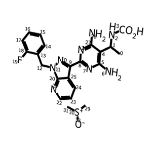 CC(NC(=O)O)c1c(N)nc(-c2nn(Cc3ccccc3F)c3ncccc23)nc1N.C[S+](C)[O-]